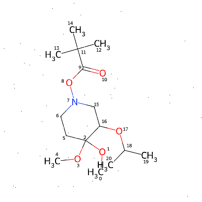 COC1(OC)CCN(OC(=O)C(C)(C)C)CC1OC(C)C